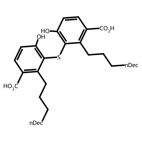 CCCCCCCCCCCCCc1c(C(=O)O)ccc(O)c1Sc1c(O)ccc(C(=O)O)c1CCCCCCCCCCCCC